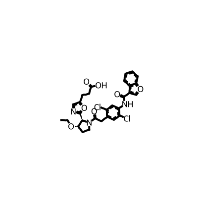 CCO[C@H]1CCN(C(=O)Cc2cc(Cl)c(NC(=O)c3coc4ccccc34)cc2Cl)[C@@H]1c1ncc(CCC(=O)O)o1